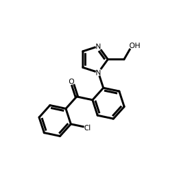 O=C(c1ccccc1Cl)c1ccccc1-n1ccnc1CO